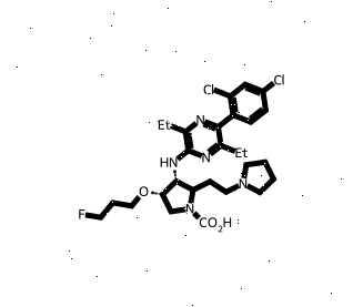 CCc1nc(-c2ccc(Cl)cc2Cl)c(CC)nc1N[C@@H]1C(CCN2CCCC2)N(C(=O)O)C[C@@H]1OCCCF